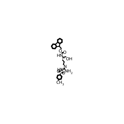 Cc1ccc(S(=O)(=O)NC(N)=NCCC[C@@H](CO)NC(=O)OCC2c3ccccc3-c3ccccc32)cc1